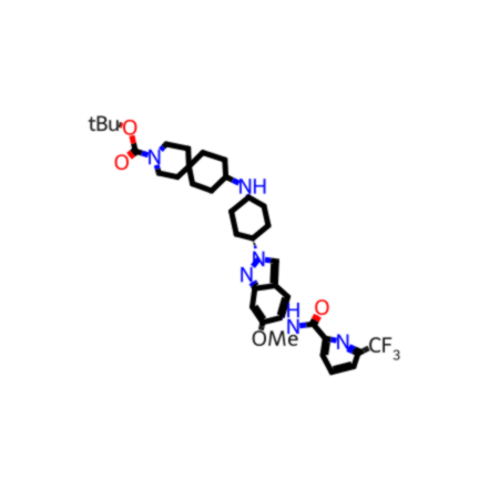 COc1cc2nn([C@H]3CC[C@H](NC4CCC5(CC4)CCN(C(=O)OC(C)(C)C)CC5)CC3)cc2cc1NC(=O)c1cccc(C(F)(F)F)n1